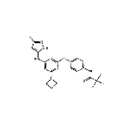 Cc1cc(Nc2cc(N3CCC3)nc(Sc3ccc(NC(=O)C(F)(F)F)cc3)n2)[nH]n1